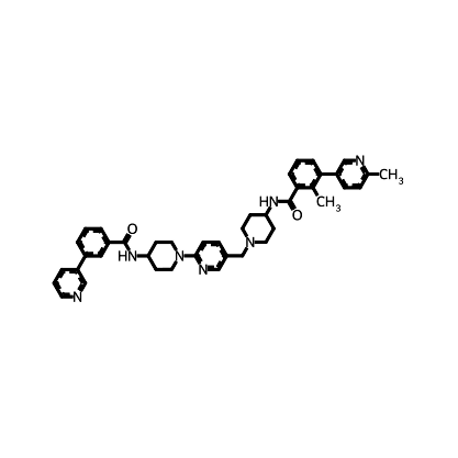 Cc1ccc(-c2cccc(C(=O)NC3CCN(Cc4ccc(N5CCC(NC(=O)c6cccc(-c7cccnc7)c6)CC5)nc4)CC3)c2C)cn1